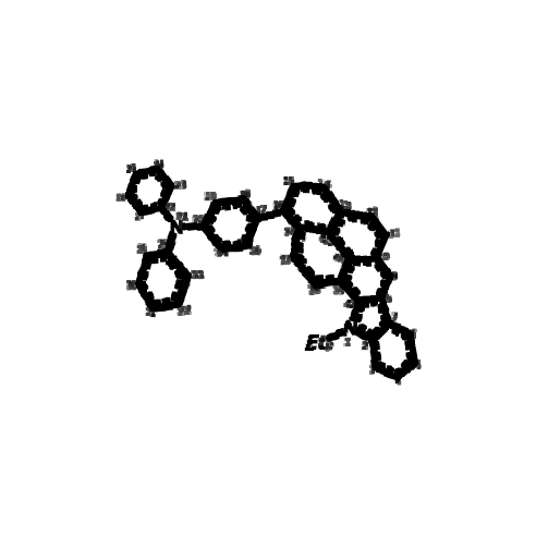 CCn1c2ccccc2c2cc3ccc4ccc(-c5ccc(N(c6ccccc6)c6ccccc6)cc5)c5ccc(c3c45)c21